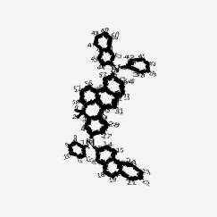 CC1(C)c2cc(N(c3ccccc3)c3ccc4c(ccc5ccccc54)c3)ccc2-c2cc3ccc(N(c4ccccc4)c4ccc5ccccc5c4)cc3c3cccc1c23